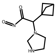 O=NC(=O)C(N1CCNC1)C12CC(C1)C2